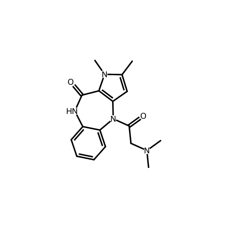 Cc1cc2c(n1C)C(=O)Nc1ccccc1N2C(=O)CN(C)C